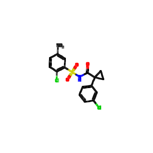 O=C(NS(=O)(=O)c1cc([N+](=O)[O-])ccc1Cl)C1(c2cccc(Cl)c2)CC1